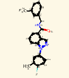 Cc1cc(-n2ncc3c(C(=O)NCc4cccc(C(F)(F)F)c4)cccc32)ccc1F